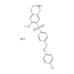 COc1cc2c(cc1S(=O)(=O)c1ccc(COc3ccc(Cl)cc3)cc1)CNCC2.Cl